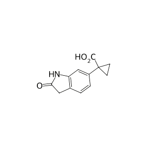 O=C1Cc2ccc(C3(C(=O)O)CC3)cc2N1